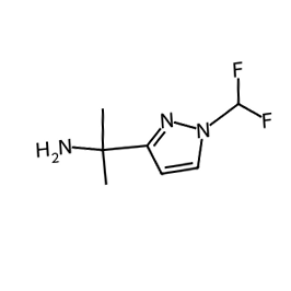 CC(C)(N)c1ccn(C(F)F)n1